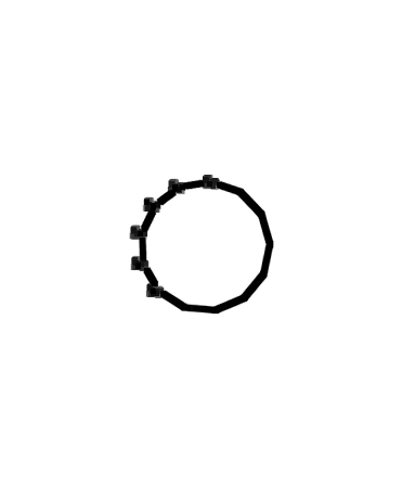 C1CCC[Se][Se][Se][Se][Se][Se]CCC1